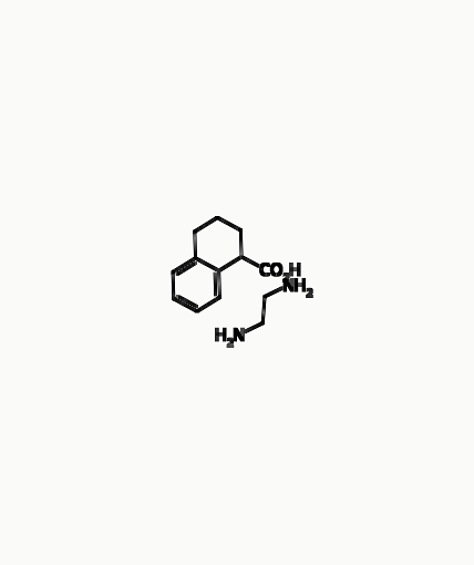 NCCN.O=C(O)C1CCCc2ccccc21